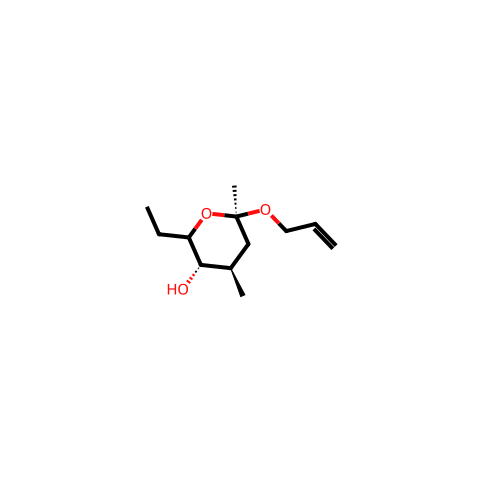 C=CCO[C@@]1(C)C[C@@H](C)[C@H](O)C(CC)O1